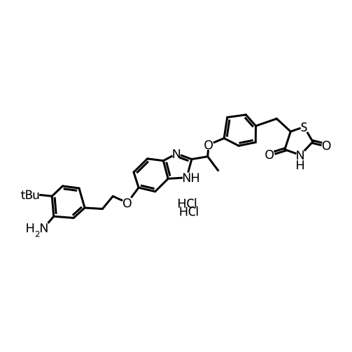 CC(Oc1ccc(CC2SC(=O)NC2=O)cc1)c1nc2ccc(OCCc3ccc(C(C)(C)C)c(N)c3)cc2[nH]1.Cl.Cl